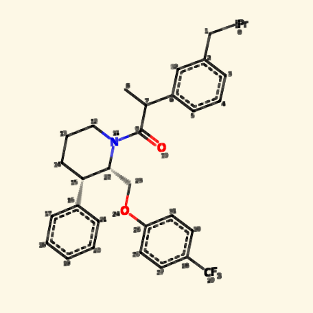 CC(C)Cc1cccc(C(C)C(=O)N2CCC[C@@H](c3ccccc3)[C@H]2COc2ccc(C(F)(F)F)cc2)c1